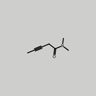 CC#C[CH]C(=O)N(C)C